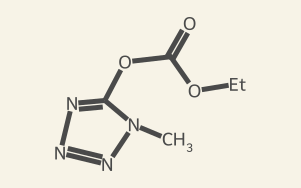 CCOC(=O)Oc1nnnn1C